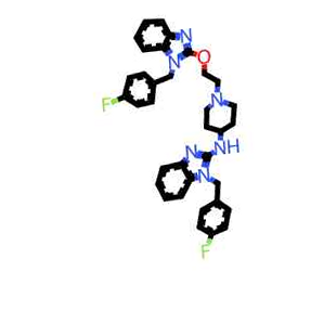 Fc1ccc(Cn2c(NC3CCN(CCOc4nc5ccccc5n4Cc4ccc(F)cc4)CC3)nc3ccccc32)cc1